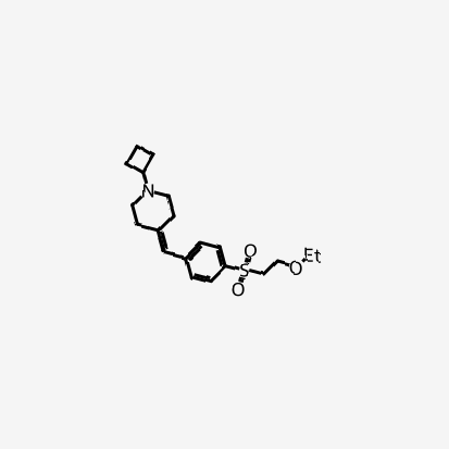 CCOCCS(=O)(=O)c1ccc(C=C2CCN(C3CCC3)CC2)cc1